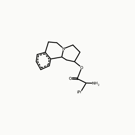 CC(C)C(N)C(=O)OC1CCN2CCc3ccccc3C2C1